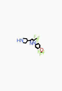 FC(F)(F)Oc1ccc(-n2nc(C3CCNCC3)cc2C(F)(F)F)cc1